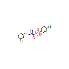 CC(C)(C(=O)NCCc1cccc(Cl)c1)S(=O)(=O)c1ccc(Cl)cc1